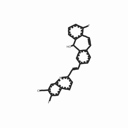 OC1c2cc(C=Cc3ccc4cc(F)c(Cl)cc4n3)ccc2C=Cc2c(F)cccc21